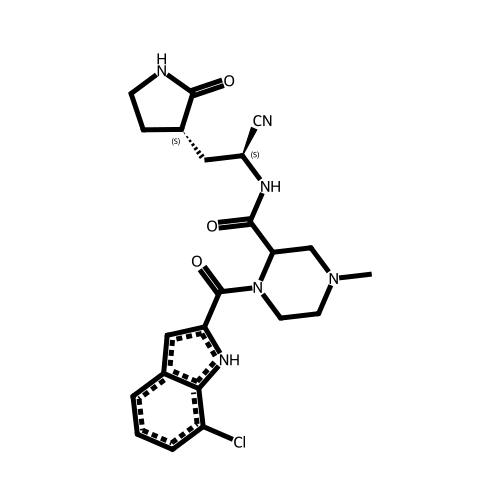 CN1CCN(C(=O)c2cc3cccc(Cl)c3[nH]2)C(C(=O)N[C@H](C#N)C[C@@H]2CCNC2=O)C1